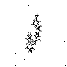 O=C(NCc1c(N2CC3(COC3)C2)ccc(Cl)c1F)c1cnn(Cc2cn3cc(C4CC4)ccc3n2)c1